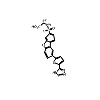 CC(C)[C@H](NS(=O)(=O)c1ccc2c(c1)oc1ccc(-c3ccc(-c4nnn[nH]4)s3)cc12)C(=O)O